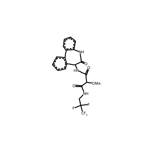 COC(C(=O)NCC(F)(F)C(F)(F)F)C(=O)NC1C(=O)Nc2ccccc2-c2ccccc21